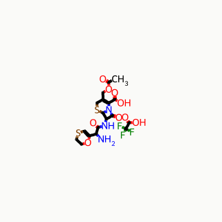 CC(=O)OCC1=C(C(=O)O)N2C(=O)C(NC(=O)C(N)C3=CSCCO3)C2SC1.O=C(O)C(F)(F)F